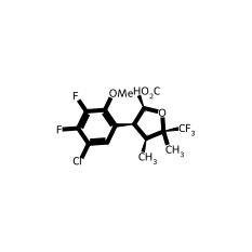 COc1c([C@H]2[C@@H](C(=O)O)O[C@@](C)(C(F)(F)F)[C@H]2C)cc(Cl)c(F)c1F